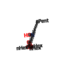 CCCCC/C=C/CCCCCCCCCCCN(CCO)CCCCCCCC(=O)OCC(COCCCCCC)(COCCCCCC)COCCCCCC